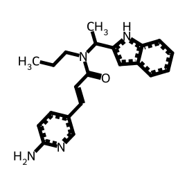 CCCN(C(=O)C=Cc1ccc(N)nc1)C(C)c1cc2ccccc2[nH]1